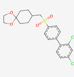 O=S(=O)(CC1CCC2(CC1)OCCO2)c1ccc(-c2ccc(Cl)cc2Cl)cc1